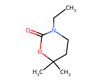 CCN1CCC(C)(C)OC1=O